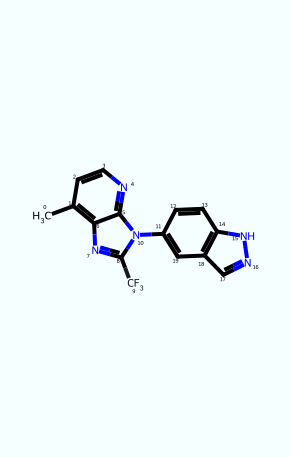 Cc1ccnc2c1nc(C(F)(F)F)n2-c1ccc2[nH]ncc2c1